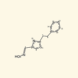 O/N=C/c1csc(CCc2ccccc2)n1